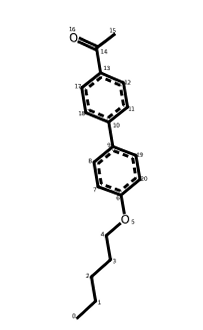 CCCCCOc1ccc(-c2ccc(C(C)=O)cc2)cc1